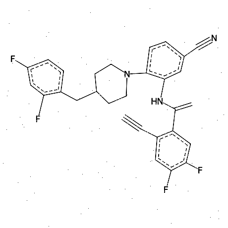 C#Cc1cc(F)c(F)cc1C(=C)Nc1cc(C#N)ccc1N1CCC(Cc2ccc(F)cc2F)CC1